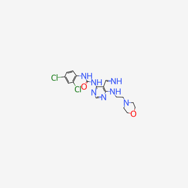 N=Cc1c(NCCN2CCOCC2)ncnc1NC(=O)Nc1ccc(Cl)cc1Cl